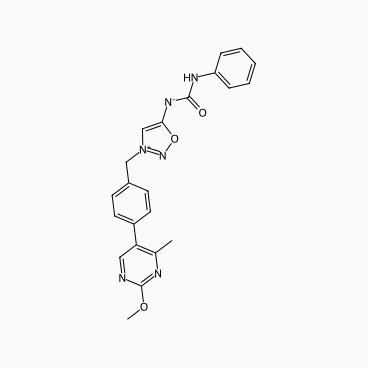 COc1ncc(-c2ccc(C[n+]3cc([N-]C(=O)Nc4ccccc4)on3)cc2)c(C)n1